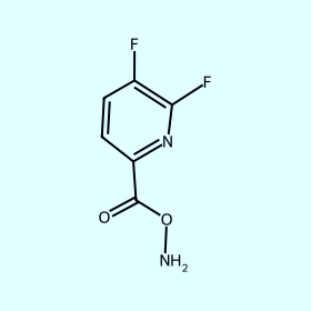 NOC(=O)c1ccc(F)c(F)n1